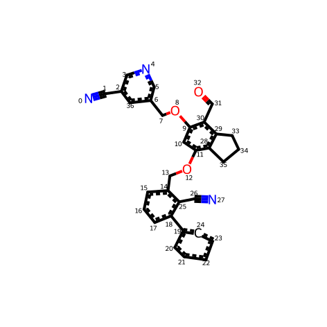 N#Cc1cncc(COc2cc(OCc3cccc(-c4ccccc4)c3C#N)c3c(c2C=O)CCC3)c1